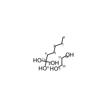 CCCCCC(O)(O)O.OCCO